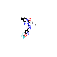 C[C@@H](Nc1nnc(-c2ccc(OC(F)(F)F)nc2)o1)C(=O)N1CCC2(CC1)CC2